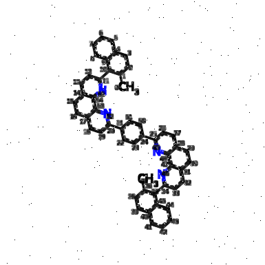 Cc1ccc2ccccc2c1-c1ccc2ccc3ccc(-c4ccc(-c5ccc6ccc7ccc(-c8c(C)ccc9ccccc89)nc7c6n5)cc4)nc3c2n1